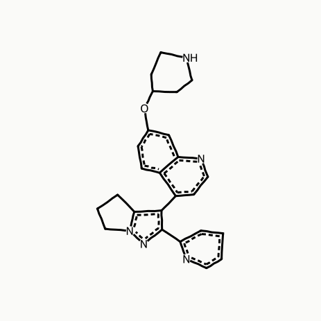 c1ccc(-c2nn3c(c2-c2ccnc4cc(OC5CCNCC5)ccc24)CCC3)nc1